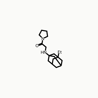 CCC12CC3CC(C1)CC(NCC(=O)N1CCCC1)(C3)C2